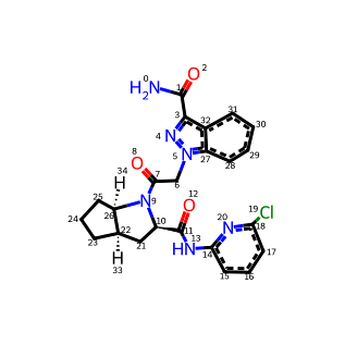 NC(=O)c1nn(CC(=O)N2[C@@H](C(=O)Nc3cccc(Cl)n3)C[C@H]3CCC[C@H]32)c2ccccc12